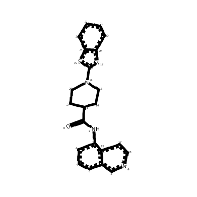 O=C(Nc1cccc2cnccc12)C1CCN(c2nc3ccccc3s2)CC1